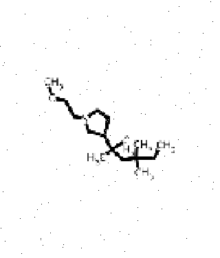 CCC(C)(C)CC(C)(C)C1CCN(CCOC)C1